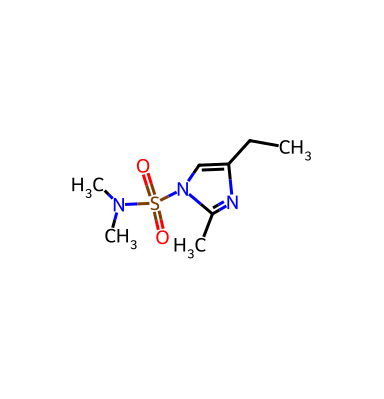 CCc1cn(S(=O)(=O)N(C)C)c(C)n1